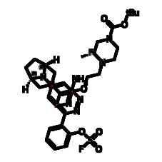 C[C@@H]1CN(C(=O)OC(C)(C)C)CCN1CCOc1cc(N2[C@@H]3CC[C@@H]2CN(c2cc(-c4ccccc4OS(=O)(=O)F)nnc2N)C3)ccn1